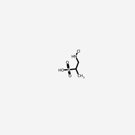 CC(CNCl)S(=O)(=O)O